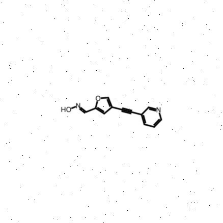 ON=Cc1cc(C#Cc2cccnc2)co1